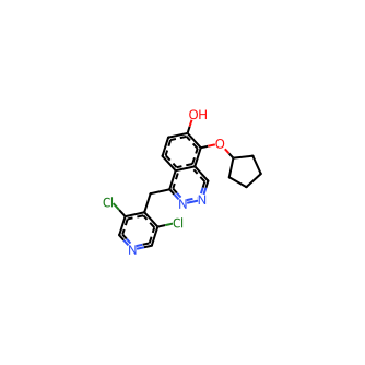 Oc1ccc2c(Cc3c(Cl)cncc3Cl)nncc2c1OC1CCCC1